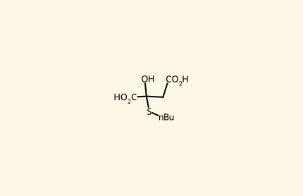 CCCCSC(O)(CC(=O)O)C(=O)O